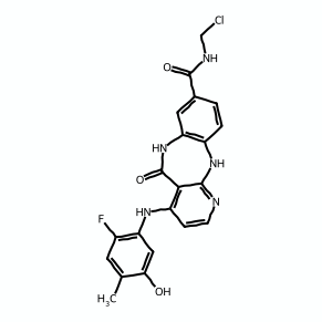 Cc1cc(F)c(Nc2ccnc3c2C(=O)Nc2cc(C(=O)NCCl)ccc2N3)cc1O